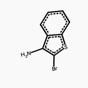 Nc1c(Br)sc2ccccc12